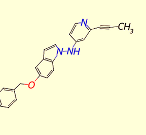 CC#Cc1cc(Nn2ccc3cc(OCc4ccccc4)ccc32)ccn1